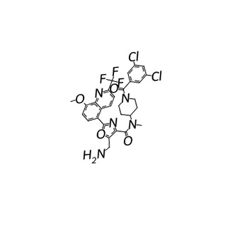 COc1ccc(-c2nc(C(=O)N(C)C3CCN(C(=O)c4cc(Cl)cc(Cl)c4)CC3)c(CN)o2)c2ccc(C(F)(F)F)nc12